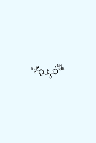 CC[C@H]1NCc2cc(C(=O)NCc3ccc(S(=O)(=O)CC)cn3)ccc21